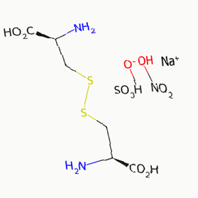 N[C@@H](CSSC[C@H](N)C(=O)O)C(=O)O.O=S(=O)([O-])O.O=[N+]([O-])O.[Na+]